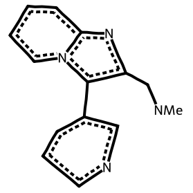 CNCc1nc2ccccn2c1-c1cccnc1